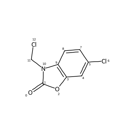 O=c1oc2cc(Cl)ccc2n1CCl